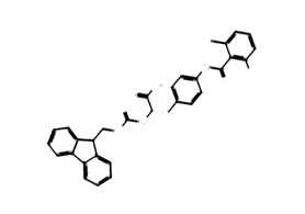 O=C(N[C@@H](Cc1ccc(NC(=O)c2c(Cl)cccc2Cl)cc1)C(=O)O)OCC1c2ccccc2-c2ccccc21